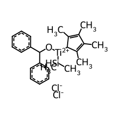 CC1=C(C)[CH]([Ti+2]([O]C(c2ccccc2)c2ccccc2)[SiH](C)C)C(C)=C1C.[Cl-].[Cl-]